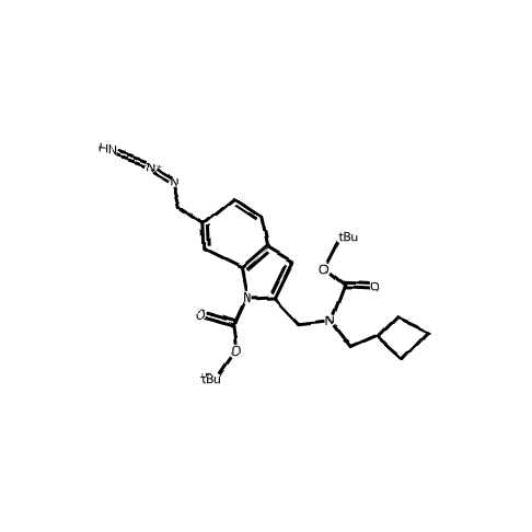 CC(C)(C)OC(=O)N(Cc1cc2ccc(CN=[N+]=N)cc2n1C(=O)OC(C)(C)C)CC1CCC1